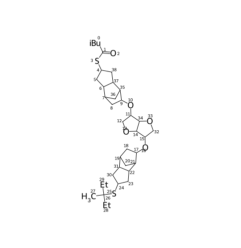 CCC(C)C(=O)SC1CC2C3CC(OC4COC5C(OC6CC7CC6C6CC(SC(C)(CC)CC)CC76)COC45)C(C3)C2C1